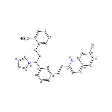 O=C(O)c1ccccc1CCC(c1cccc(/C=C/c2ccc3ccc(Cl)cc3n2)c1)n1cccc1